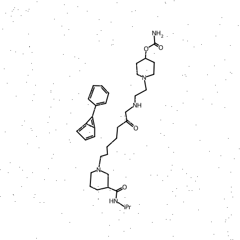 CC(C)NC(=O)C1CCCN(CCCCCC(=O)CNCCN2CCC(OC(N)=O)CC2)C1.c1ccc(-c2c3cccc2-3)cc1